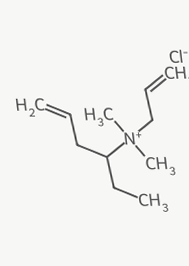 C=CCC(CC)[N+](C)(C)CC=C.[Cl-]